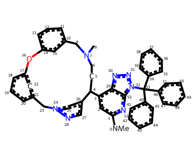 CNc1cc(C2CCN(C)Cc3cccc(c3)Oc3cccc(c3)Cn3cc2cn3)c2nnn(C(c3ccccc3)(c3ccccc3)c3ccccc3)c2n1